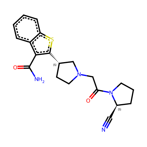 N#C[C@@H]1CCCN1C(=O)CN1CC[C@H](c2sc3ccccc3c2C(N)=O)C1